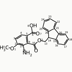 COc1ccc(C(=O)O)c(C(=O)OCC2c3ccccc3-c3ccccc32)c1N